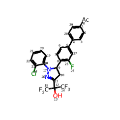 CC(=O)c1ccc(-c2ccc(C3CC(C(O)(C(F)(F)F)C(F)(F)F)=NN3c3ccccc3Cl)c(F)c2)cc1